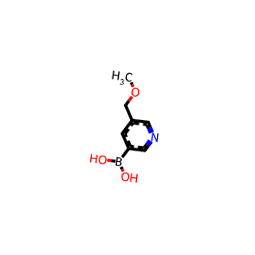 COCc1cncc(B(O)O)c1